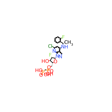 C[C@H](Nc1cc(Cl)nc2c1cnn2[C@@H]1O[C@H](COP(=O)(O)CP(=O)(O)O)[C@@H](O)[C@@H]1F)c1ccccc1F